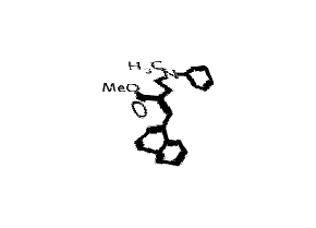 COC(=O)C(=Cc1cccc2ccccc12)CCN(C)c1ccccc1